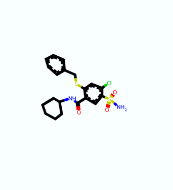 NS(=O)(=O)c1cc(C(=O)NC2CCCCC2)c(SCc2ccccc2)cc1Cl